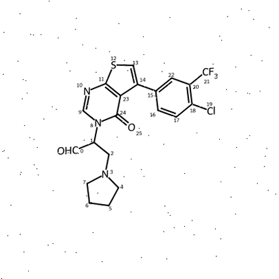 O=CC(CN1CCCC1)n1cnc2scc(-c3ccc(Cl)c(C(F)(F)F)c3)c2c1=O